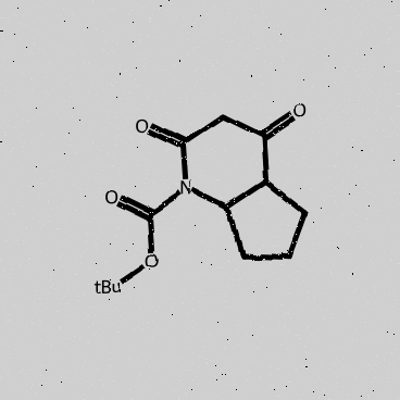 CC(C)(C)OC(=O)N1C(=O)CC(=O)C2CCCC21